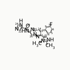 CC1NC(c2ccc(F)cc2)=C(c2ccc3nc(NC(=O)c4cnc[nH]4)cn3n2)N1C